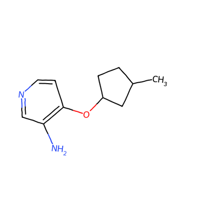 CC1CCC(Oc2ccncc2N)C1